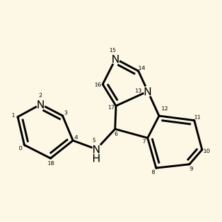 c1cncc(NC2c3ccccc3-n3cncc32)c1